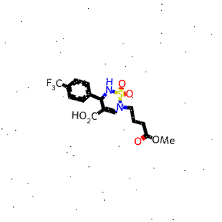 COC(=O)CCCN1C=C(C(=O)O)C(c2ccc(C(F)(F)F)cc2)NS1(=O)=O